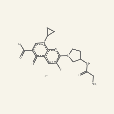 Cl.NCC(=O)NC1CCN(c2nc3c(cc2F)c(=O)c(C(=O)O)cn3C2CC2)C1